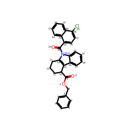 O=C(OCc1ccccc1)C1CCCc2c1c1ccccc1n2C(=O)c1ccc(Cl)c2ccccc12